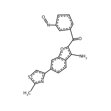 Cc1nc(-c2ccc3c(N)c(C(=O)c4cccc(N=O)c4)oc3c2)cs1